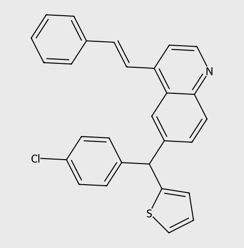 Clc1ccc(C(c2ccc3nccc(/C=C/c4ccccc4)c3c2)c2cccs2)cc1